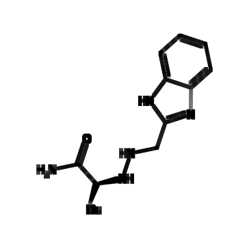 CC[C@H](C)[C@H](NNCc1nc2ccccc2[nH]1)C(N)=O